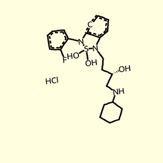 Cl.O[C@@H](CCN1c2ccccc2N(c2ccccc2F)S1(O)O)CNC1CCCCC1